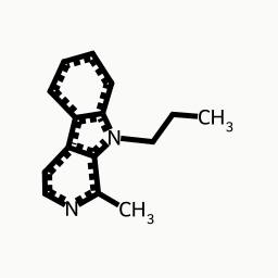 CCCn1c2ccccc2c2ccnc(C)c21